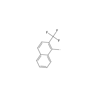 [CH2]c1c(C(F)(F)F)ccc2ccccc12